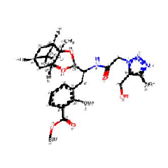 CCCc1nnn(CC(=O)N[C@@H](Cc2cccc(C(=O)OC(C)(C)C)c2OC)B2O[C@@H]3C[C@@H]4C[C@@H](C4(C)C)[C@]3(C)O2)c1CO